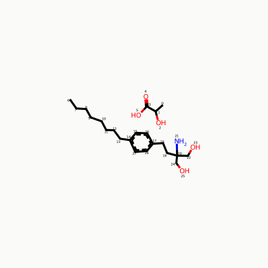 CC(O)C(=O)O.CCCCCCCCc1ccc(CCC(N)(CO)CO)cc1